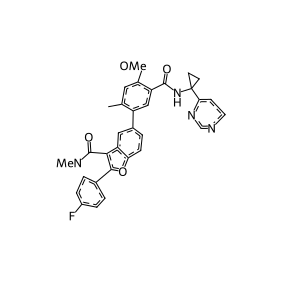 CNC(=O)c1c(-c2ccc(F)cc2)oc2ccc(-c3cc(C(=O)NC4(c5ccncn5)CC4)c(OC)cc3C)cc12